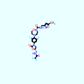 Cc1cc(CNC(=O)N2CCN(c3c(F)cc(N4C[C@H](CNC(=O)C(F)F)OC4=O)cc3F)CCO2)no1